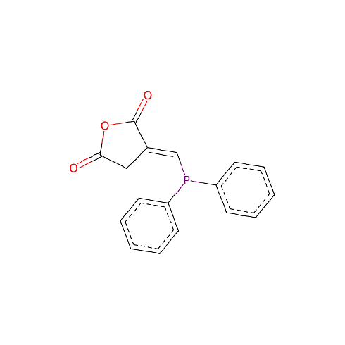 O=C1CC(=CP(c2ccccc2)c2ccccc2)C(=O)O1